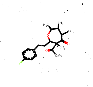 COC(=O)C1(C)C(=O)C(C)C(C)C(C)OC1CCc1ccc(F)cc1